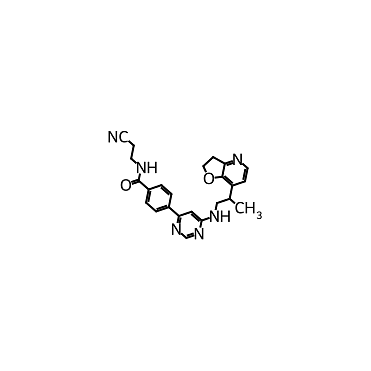 CC(CNc1cc(-c2ccc(C(=O)NCCC#N)cc2)ncn1)c1ccnc2c1OCC2